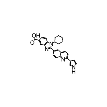 O=C(O)c1ccc2c(c1)nc(-c1ccc3nc(-c4cc[nH]c4)ccc3c1)n2C1CCCCC1